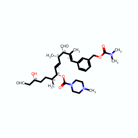 C/C(=C\c1cccc(COC(=O)N(C)C)c1)[C@@H](C=O)[C@@H](C)/C=C/[C@H](OC(=O)N1CCN(C)CC1)[C@@H](C)CC[C@@H](O)CC=O